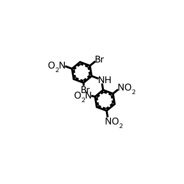 O=[N+]([O-])c1cc(Br)c(Nc2c([N+](=O)[O-])cc([N+](=O)[O-])cc2[N+](=O)[O-])c(Br)c1